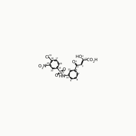 O=C(O)/C(O)=C/C(=O)c1cccc(NS(=O)(=O)c2ccc(Cl)c([N+](=O)[O-])c2)c1